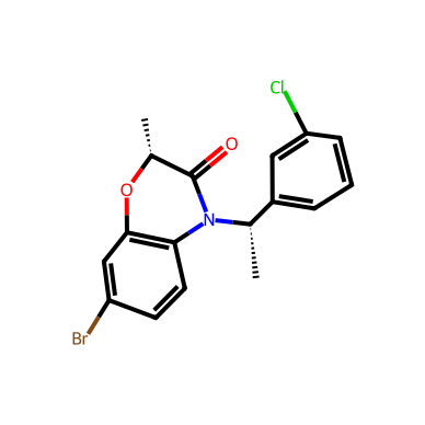 C[C@H]1Oc2cc(Br)ccc2N([C@@H](C)c2cccc(Cl)c2)C1=O